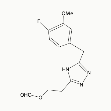 COc1cc(Cc2nnc(CCOC=O)[nH]2)ccc1F